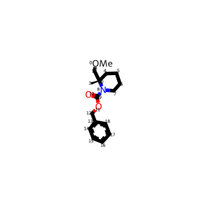 COC[C@]1(C)CCCCN1C(=O)OCc1ccccc1